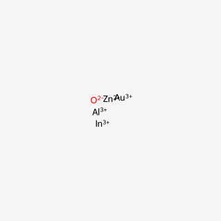 [Al+3].[Au+3].[In+3].[O-2].[Zn+2]